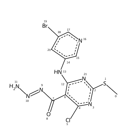 CSc1nc(Cl)c(C(=O)N=NN)c(Nc2cncc(Br)c2)n1